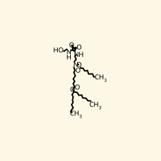 CCCCCCCCC(CCCCCCCC)OC(=O)CCCCCCCN(CCCNc1c(NCCO)c(=O)c1=O)OC(=O)CCCCCCC